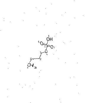 C[CH]CCOS(=O)(=O)O